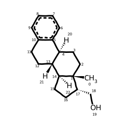 C[C@]12CC[C@@H]3c4ccccc4CC[C@H]3[C@@H]1CC[C@H]2CO